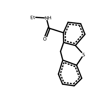 CCNC(=O)c1cccc2c1Cc1ccccc1S2